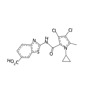 Cc1c(Cl)c(Cl)c(C(=O)Nc2nc3ccc(C(=O)O)cc3s2)n1C1CC1